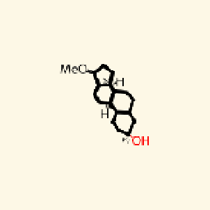 COC1CC[C@@H]2C1CC[C@@H]1C3CC[C@@H](O)CC3CCC12